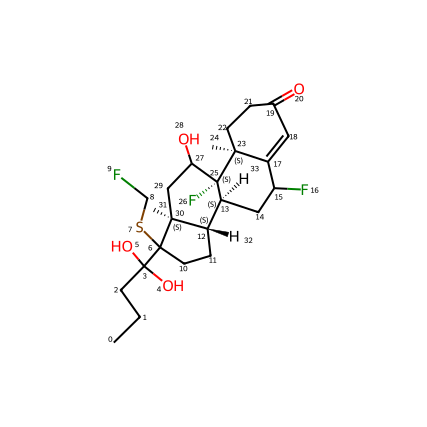 CCCC(O)(O)C1(SCF)CC[C@H]2[C@@H]3CC(F)C4=CC(=O)CC[C@]4(C)[C@]3(F)C(O)C[C@@]21C